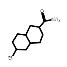 CCC1CCC2CC(C(N)=O)CCC2C1